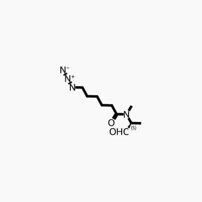 C[C@@H](C=O)N(C)C(=O)CCCCCN=[N+]=[N-]